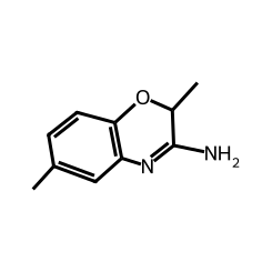 Cc1ccc2c(c1)N=C(N)C(C)O2